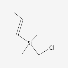 CC=C[Si](C)(C)CCl